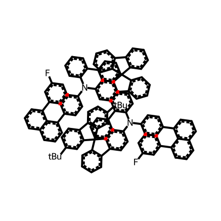 CC(C)(C)c1ccc2c(c1)C1(c3ccccc3-c3ccc(N(c4ccc(-c5cccc6cccc(-c7cccc(F)c7)c56)cc4)c4ccc(-c5cccc(-c6ccccc6N(c6ccc(-c7cccc8cccc(-c9cccc(F)c9)c78)cc6)c6ccc7c(c6)C6(c8ccccc8-c8ccccc86)c6ccccc6-7)c5)cc4-c4ccccc4)cc31)c1cc(C(C)(C)C)ccc1-2